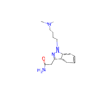 CN(C)CCCCn1nc(CC(N)=O)c2ccccc21